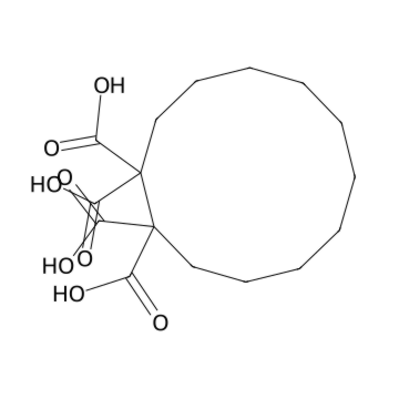 O=C(O)C1(C(=O)O)CCCCCCCCCCC1(C(=O)O)C(=O)O